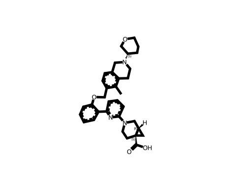 Cc1c(COc2ccccc2-c2cccc(N3CC[C@@]4(C(=O)O)C[C@H]4C3)n2)ccc2c1CCN([C@H]1CCCOC1)C2